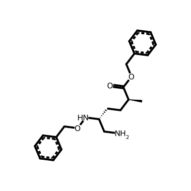 C[C@@H](CC[C@H](CN)NOCc1ccccc1)C(=O)OCc1ccccc1